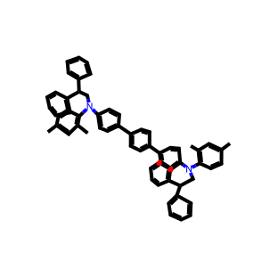 Cc1ccc(N(CC(c2ccccc2)c2ccccc2)c2ccc(-c3ccc(-c4ccc(N(CC(c5ccccc5)c5ccccc5)c5ccc(C)cc5C)cc4)cc3)cc2)c(C)c1